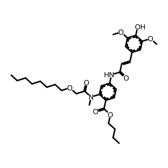 CCCCCCCCOCC(=O)N(C)c1cc(NC(=O)C=Cc2cc(OC)c(O)c(OC)c2)ccc1C(=O)OCCCC